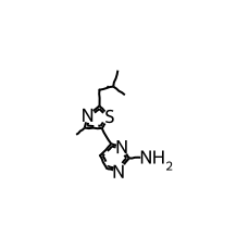 C[C](C)Cc1nc(C)c(-c2ccnc(N)n2)s1